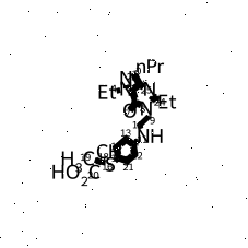 CCCc1nn(CC)c2c(=O)n(CCNc3ccc(SC(C)(C)C(=O)O)cc3)c(CC)nc12